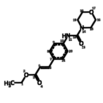 CCOC(=O)/C=C/c1ccc(NC(=O)N2CCOCC2)cc1